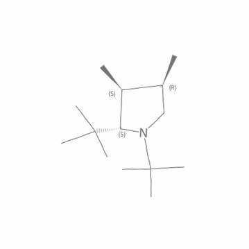 C[C@@H]1[C@@H](C(C)(C)C)N(C(C)(C)C)C[C@@H]1C